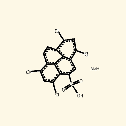 O=S(=O)(O)c1cc2c(Cl)cc(Cl)c3ccc4c(Cl)cc(Cl)c1c4c32.[NaH]